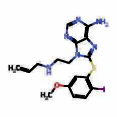 C=CCNCCn1c(Sc2cc(OC)ccc2I)nc2c(N)ncnc21